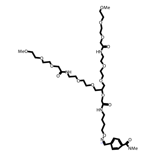 CNC(=O)c1ccc(/C=N\OCCCCNC(=O)COC(COCCOCCNC(=O)COCCOCCOC)COCCOCCNC(=O)COCCOCCOC)cc1